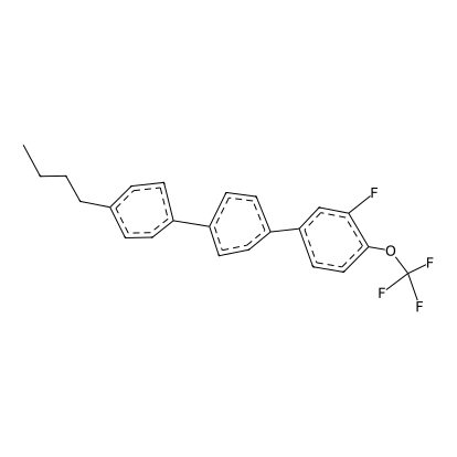 CCCCc1ccc(-c2ccc(-c3ccc(OC(F)(F)F)c(F)c3)cc2)cc1